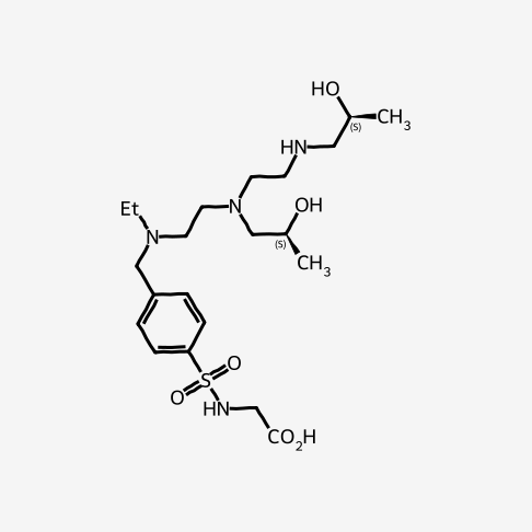 CCN(CCN(CCNC[C@H](C)O)C[C@H](C)O)Cc1ccc(S(=O)(=O)NCC(=O)O)cc1